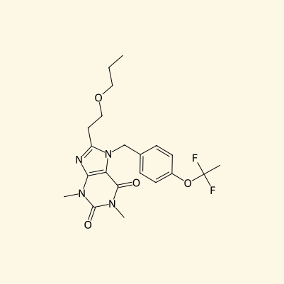 CCCOCCc1nc2c(c(=O)n(C)c(=O)n2C)n1Cc1ccc(OC(C)(F)F)cc1